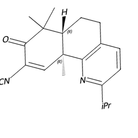 [C-]#[N+]C1=C[C@]2(C)c3nc(C(C)C)ccc3CC[C@H]2C(C)(C)C1=O